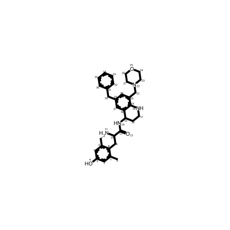 Cc1cc(O)cc(C)c1CC(N)C(=O)NC1CCNc2c(CN3CCOCC3)cc(Cc3ccccc3)cc21